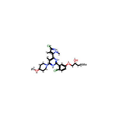 CNC[C@@H](O)COc1ccc(Cl)c(-c2nc(-c3c(C)c(Cl)nn3C)c(C)c(N3CCC(OC(C)C)CC3)n2)c1